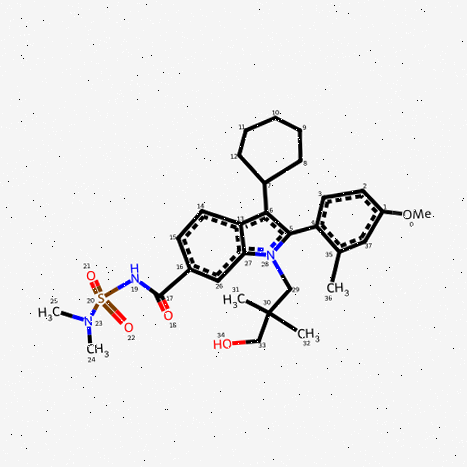 COc1ccc(-c2c(C3CCCCC3)c3ccc(C(=O)NS(=O)(=O)N(C)C)cc3n2CC(C)(C)CO)c(C)c1